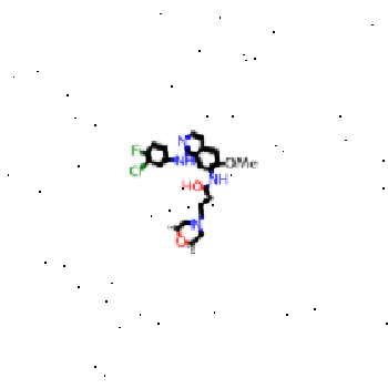 COc1cc2ccnc(Nc3ccc(F)c(Cl)c3)c2cc1NC(O)CCCN1C[C@@H](C)O[C@@H](C)C1